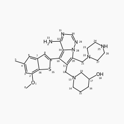 COc1cc(C)cc2cc(-c3c(CN4CCCC(O)C4)c(CN4CCNCC4)n4ncnc(N)c34)sc12